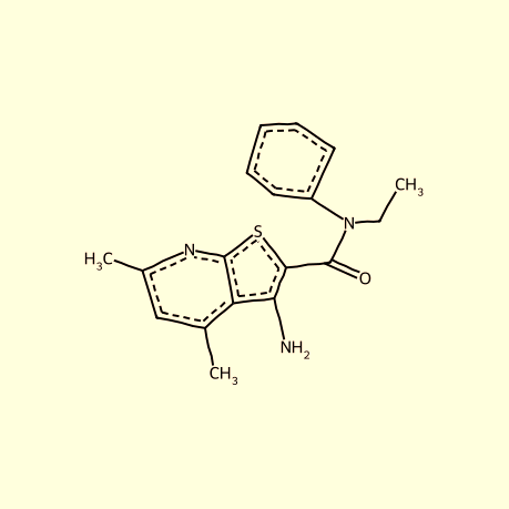 CCN(C(=O)c1sc2nc(C)cc(C)c2c1N)c1ccccc1